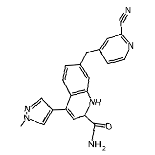 Cn1cc(C2=CC(C(N)=O)Nc3cc(Cc4ccnc(C#N)c4)ccc32)cn1